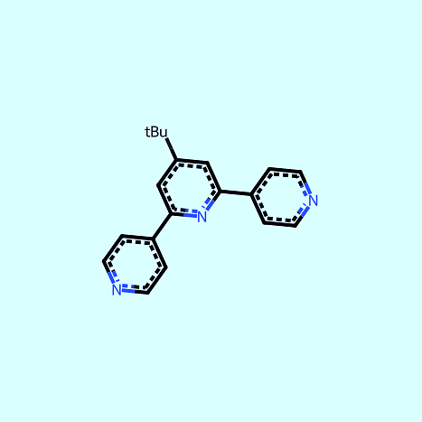 CC(C)(C)c1cc(-c2ccncc2)nc(-c2ccncc2)c1